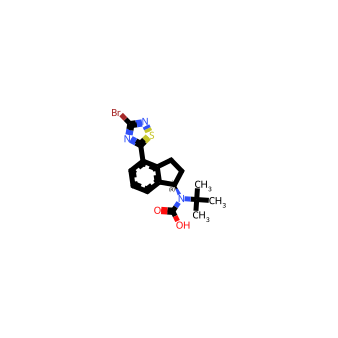 CC(C)(C)N(C(=O)O)[C@@H]1CCc2c(-c3nc(Br)ns3)cccc21